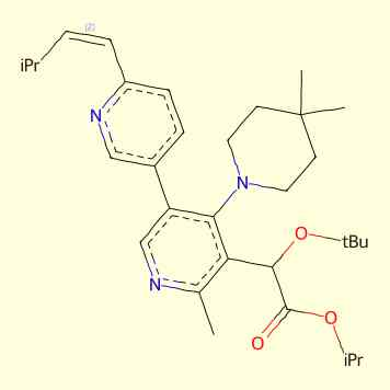 Cc1ncc(-c2ccc(/C=C\C(C)C)nc2)c(N2CCC(C)(C)CC2)c1C(OC(C)(C)C)C(=O)OC(C)C